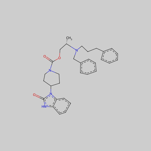 C[C@@H](COC(=O)N1CCC(n2c(=O)[nH]c3ccccc32)CC1)N(CCCc1ccccc1)Cc1ccccc1